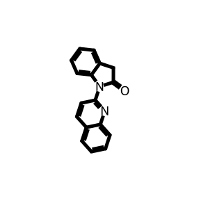 O=C1Cc2ccccc2N1c1ccc2ccccc2n1